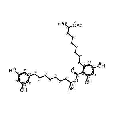 CCCC(CCCCCCCc1cc(O)cc(O)c1C(=O)OC(CCC)CCCCCCCc1cc(O)cc(O)c1)OC(C)=O